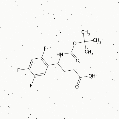 CC(C)(C)OC(=O)NC(CCC(=O)O)c1cc(F)c(F)cc1F